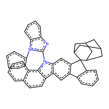 c1ccc(-n2c(-n3c4cc5c(cc4c4ccc6ccccc6c43)-c3ccccc3C53C4CC5CC(C4)CC3C5)nc3ccccc32)cc1